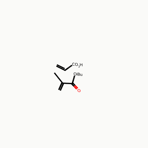 C=C(C)C(=O)OCC(C)C.C=CC(=O)O